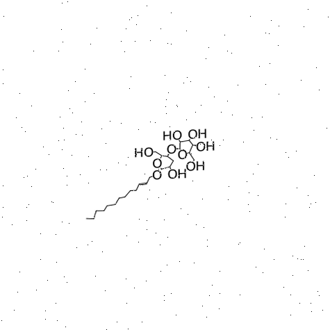 CCCCCCCCCC/C=C/CO[C@@H]1OC(CO)[C@@H](O[C@@H]2OC(CO)[C@H](O)C(O)C2O)CC1O